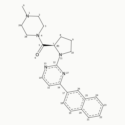 CN1CCN(C(=O)[C@H]2CCCN2c2nccc(-c3ccc4ccccc4c3)n2)CC1